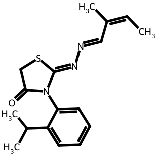 C\C=C(C)/C=N/N=C1\SCC(=O)N1c1ccccc1C(C)C